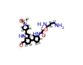 Cc1c(NC(=O)CO/C(N)=C/C=C\N)cccc1-c1ccc(C=O)c2[nH]c(C3=CCN([S+](C)[O-])CC3)cc12